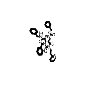 O=C(NCCC(=O)N(CCc1ccccn1)C(=O)N(CC(=O)C(=O)NCc1ccccc1)Cc1ccccc1)OCc1ccccc1